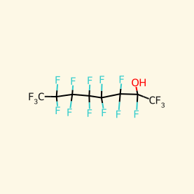 OC(F)(C(F)(F)F)C(F)(F)C(F)(F)C(F)(F)C(F)(F)C(F)(F)C(F)(F)F